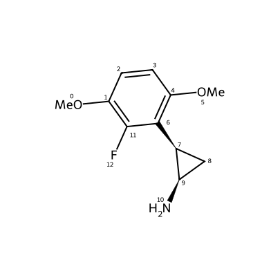 COc1ccc(OC)c([C@H]2C[C@H]2N)c1F